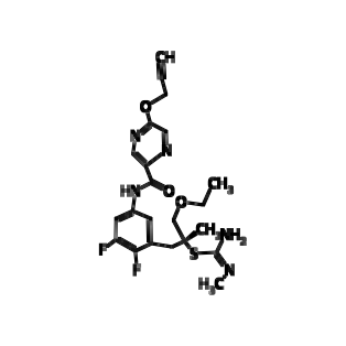 C#CCOc1cnc(C(=O)Nc2cc(F)c(F)c(C[C@](C)(COCC)S/C(N)=N\C)c2)cn1